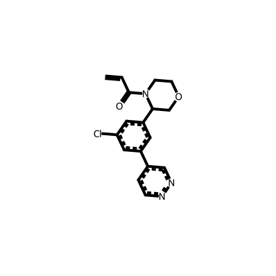 C=CC(=O)N1CCOCC1c1cc(Cl)cc(-c2ccnnc2)c1